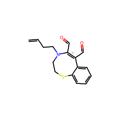 C=CCCN1CCSc2ccccc2/C(C=O)=C\1C=O